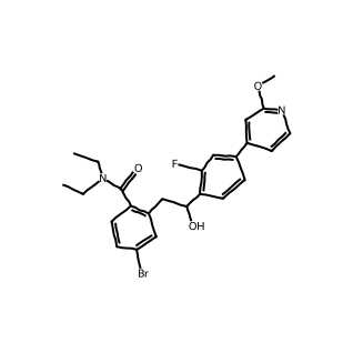 CCN(CC)C(=O)c1ccc(Br)cc1CC(O)c1ccc(-c2ccnc(OC)c2)cc1F